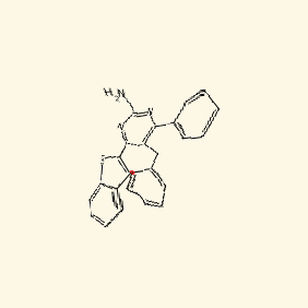 Nc1nc(-c2ccccc2)c(Cc2ccccc2)c(-c2cc3ccccc3s2)n1